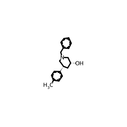 Cc1ccc([C@H]2C[C@@H](O)CN(Cc3ccccc3)C2)cc1